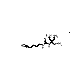 C#CCCCCNC(=S)NC(CN)(CN)CN